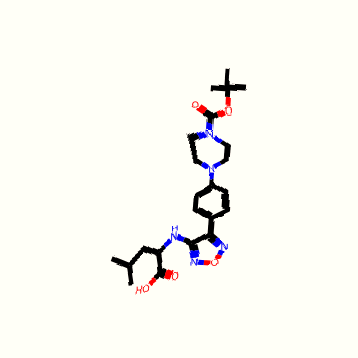 CC(C)CC(Nc1nonc1-c1ccc(N2CCN(C(=O)OC(C)(C)C)CC2)cc1)C(=O)O